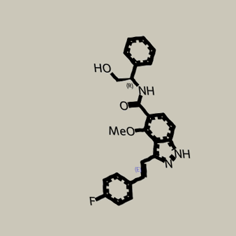 COc1c(C(=O)N[C@@H](CO)c2ccccc2)ccc2[nH]nc(/C=C/c3ccc(F)cc3)c12